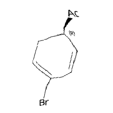 CC(=O)[C@H]1C=CC(Br)=CC1